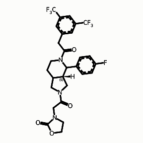 O=C(CN1CCOC1=O)N1CC2CCN(C(=O)Cc3cc(C(F)(F)F)cc(C(F)(F)F)c3)C(c3ccc(F)cc3)[C@@H]2C1